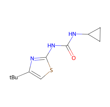 CC(C)(C)c1csc(NC(=O)NC2CC2)n1